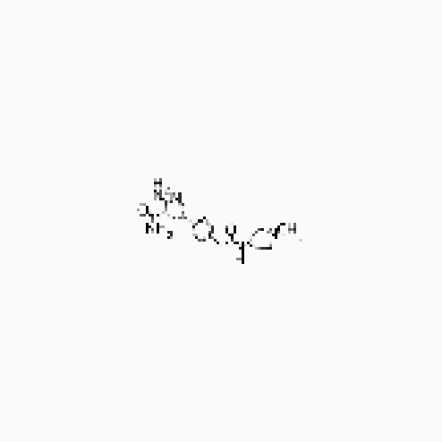 CN1CCC(NC(=O)Cc2ccc(-c3cnc(N)c(C(N)=O)c3)cc2)CC1